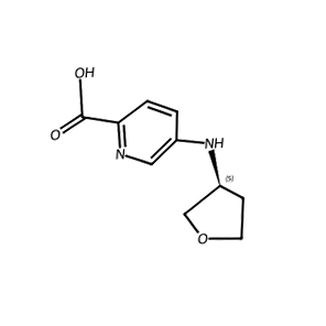 O=C(O)c1ccc(N[C@H]2CCOC2)cn1